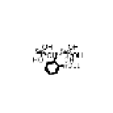 CCCCCCCCc1cccc[c]1[Zn].OP(O)(O)=S.OP(O)(O)=S